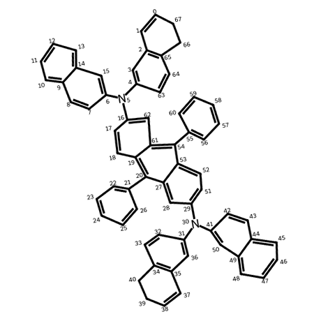 C1=Cc2cc(N(c3ccc4ccccc4c3)c3ccc4c(-c5ccccc5)c5cc(N(c6ccc7c(c6)C=CCC7)c6ccc7ccccc7c6)ccc5c(-c5ccccc5)c4c3)ccc2CC1